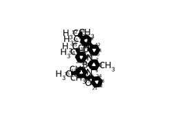 Cc1cc2c3c(c1)-n1c4c(cc(C(C)(C)C)cc4c4oc5ccccc5c41)B3c1ccc(C(C)(C)C)cc1N2c1cccc2c1oc1cc(C(C)(C)C)ccc12